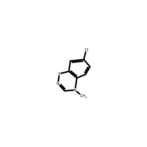 CN1C=NSc2cc(Cl)ccc21